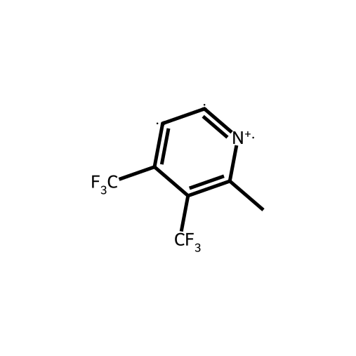 CC1=C(C(F)(F)F)C(C(F)(F)F)=[C][C]=[N+]1